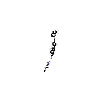 CCCCCC/C=C/CCCCCc1ccc2c(c1)sc1c3ccc(C#Cc4ccc5cnccc5c4)cc3sc21